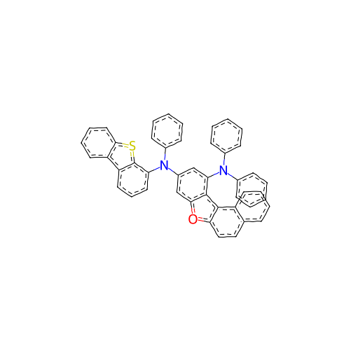 c1ccc(N(c2cc(N(c3ccccc3)c3ccccc3)c3c(c2)oc2ccc4ccccc4c23)c2cccc3c2sc2ccccc23)cc1